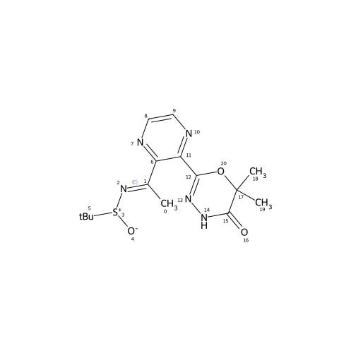 C/C(=N\[S+]([O-])C(C)(C)C)c1nccnc1C1=NNC(=O)C(C)(C)O1